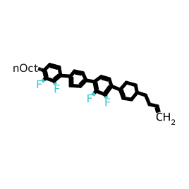 C=CCCC1CC=C(c2ccc(-c3ccc(-c4ccc(CCCCCCCC)c(F)c4F)cc3)c(F)c2F)CC1